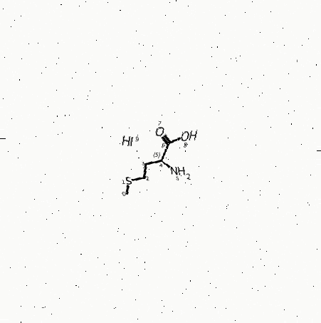 CSCC[C@H](N)C(=O)O.I